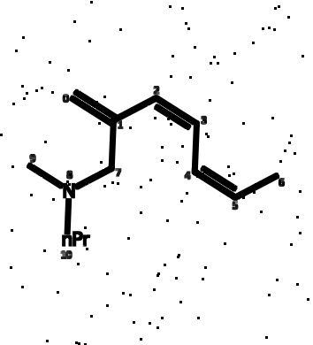 C=C(/C=C\C=C/C)CN(C)CCC